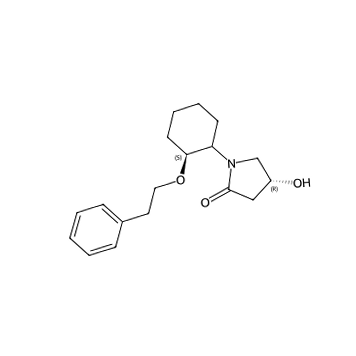 O=C1C[C@@H](O)CN1C1CCCC[C@@H]1OCCc1ccccc1